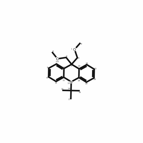 COCC1(COC)c2ccccc2N(C(C)(C)C)c2ccccc21